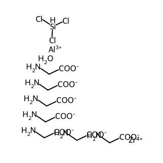 Cl[SiH](Cl)Cl.NCC(=O)[O-].NCC(=O)[O-].NCC(=O)[O-].NCC(=O)[O-].NCC(=O)[O-].NCC(=O)[O-].NCC(=O)[O-].O.[Al+3].[Zr+4]